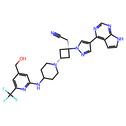 N#CC[C@]1(n2cc(-c3ncnc4[nH]ccc34)cn2)C[C@H](N2CCC(Nc3cc(CO)cc(C(F)(F)F)n3)CC2)C1